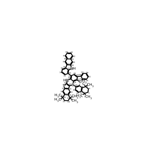 CC1(C)CCC(C)(C)c2cc(N3c4c(sc5cc6c(cc45)C(C)(C)CCC6(C)C)Bc4c(-c5cccc6c5[nH]c5cc7ccccc7cc56)cc5c(oc6ccccc65)c43)ccc21